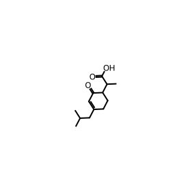 CC(C)CC1=CC(=O)C(C(C)C(=O)O)CC1